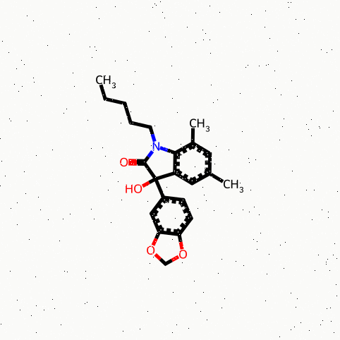 CCCCCN1C(=O)C(O)(c2ccc3c(c2)OCO3)c2cc(C)cc(C)c21